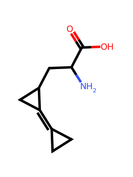 NC(CC1CC1=C1CC1)C(=O)O